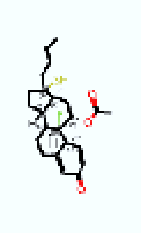 CCCC[C@@]1(S)CC[C@H]2[C@@H]3CCC4=CC(=O)C=C[C@]4(C)[C@@]3(F)[C@@H](OC(C)=O)C[C@@]21C